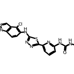 CNC(=O)Nc1cccc(-c2nnc(Nc3ccc4[nH]ncc4c3Cl)s2)n1